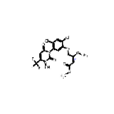 COC(=O)/C=C(\COc1cc(-n2c(=O)cc(C(F)(F)F)n(C)c2=O)c(Cl)cc1Cl)OC